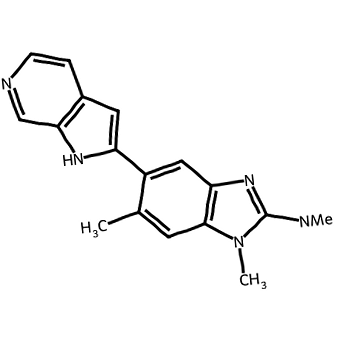 CNc1nc2cc(-c3cc4ccncc4[nH]3)c(C)cc2n1C